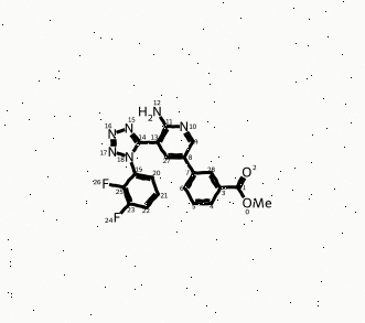 COC(=O)c1cccc(-c2cnc(N)c(-c3nnnn3-c3cccc(F)c3F)c2)c1